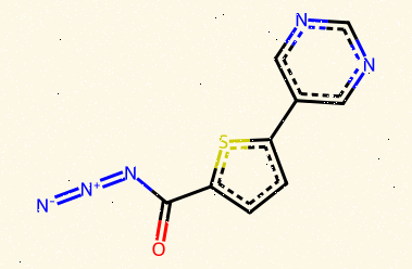 [N-]=[N+]=NC(=O)c1ccc(-c2cncnc2)s1